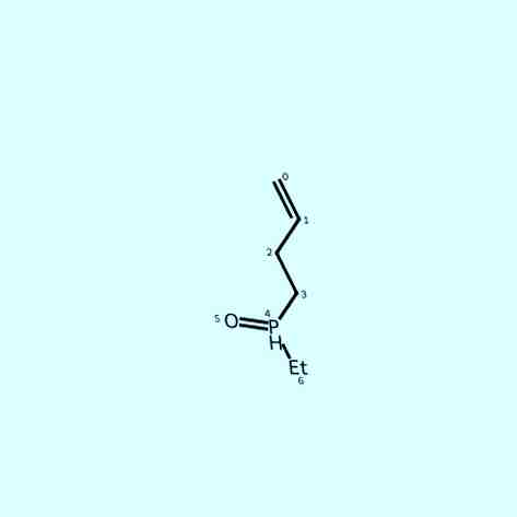 C=CCC[PH](=O)CC